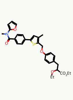 CCOC(=O)C(Cc1ccc(OCc2sc(-c3ccc(C(=O)N(C)c4ccco4)cc3)cc2C)cc1)OCC